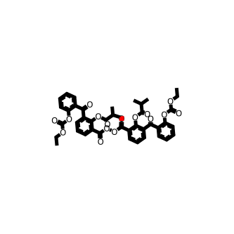 CCOC(=O)Oc1ccccc1C(=O)c1cccc(C(=O)OOC(=O)c2cccc(C(=O)c3ccccc3OC(=O)OCC)c2OC(=O)C(C)C)c1OC(=O)C(C)C